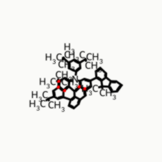 CC(C)(C)c1cc(-c2cccc3cccc(-c4ccccc4N(c4cccc(-c5cccc6c5C(C)(C)c5ccccc5-6)c4)c4cc(C(C)(C)C)cc(C(C)(C)C)c4)c23)cc(C(C)(C)C)c1